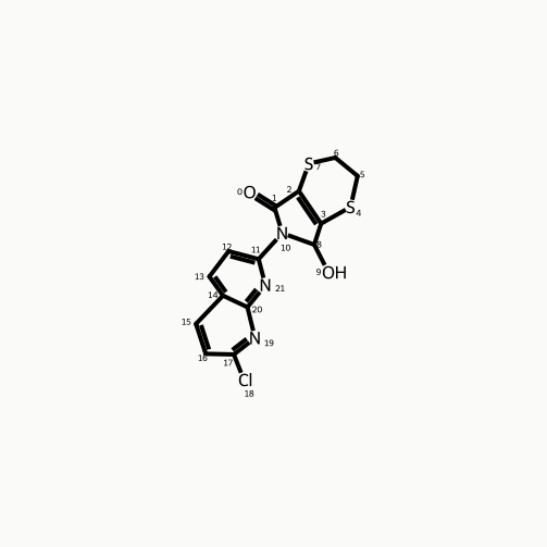 O=C1C2=C(SCCS2)C(O)N1c1ccc2ccc(Cl)nc2n1